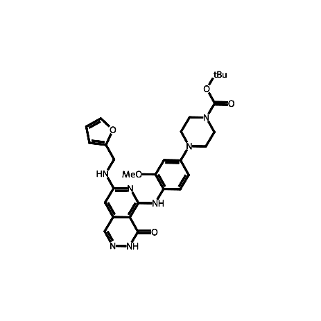 COc1cc(N2CCN(C(=O)OC(C)(C)C)CC2)ccc1Nc1nc(NCc2ccco2)cc2cn[nH]c(=O)c12